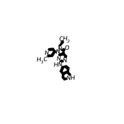 C=CCn1c(=O)c2cnc(Nc3ccc4c(c3)CCNC4)nc2n1-c1ccnc(C)c1